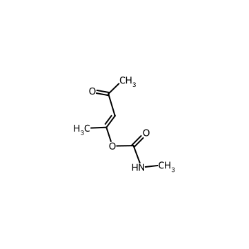 CNC(=O)OC(C)=CC(C)=O